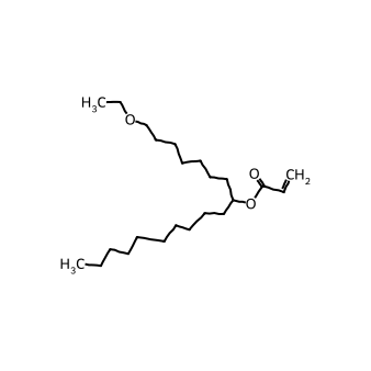 C=CC(=O)OC(CCCCCCCCCC)CCCCCCCOCC